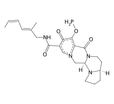 C/C=C\C=C(/C)CNC(=O)c1cn2c(c(OP)c1=O)C(=O)N1CC[C@H]3CCCN3[C@H]1C2